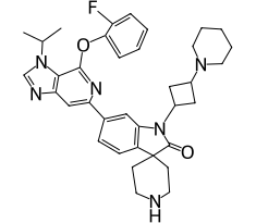 CC(C)n1cnc2cc(-c3ccc4c(c3)N(C3CC(N5CCCCC5)C3)C(=O)C43CCNCC3)nc(Oc3ccccc3F)c21